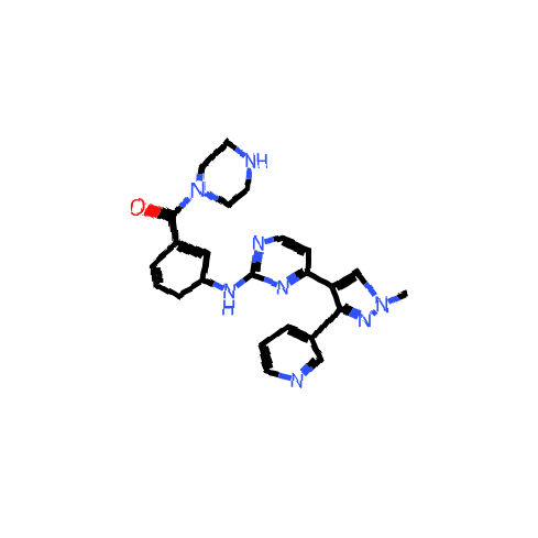 Cn1cc(-c2ccnc(NC3C=C(C(=O)N4CCNCC4)C=CC3)n2)c(-c2cccnc2)n1